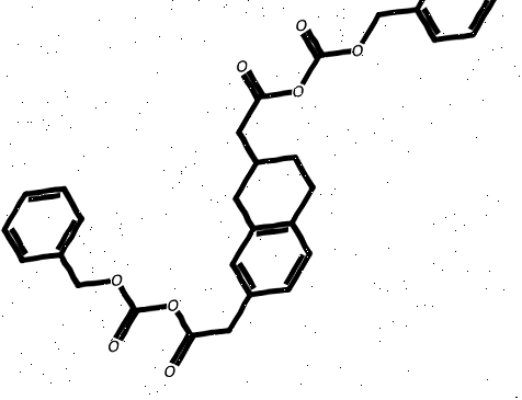 O=C(Cc1ccc2c(c1)CC(CC(=O)OC(=O)OCc1ccccc1)CC2)OC(=O)OCc1ccccc1